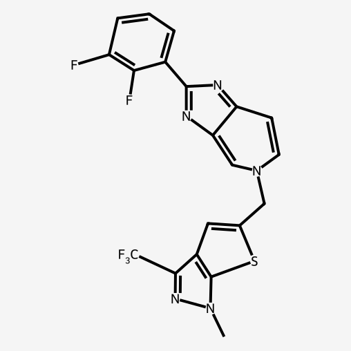 Cn1nc(C(F)(F)F)c2cc(Cn3ccc4nc(-c5cccc(F)c5F)nc-4c3)sc21